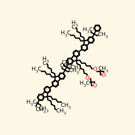 CCCCCCC1(CCCCCC)c2cc(-c3ccc4c(c3)C(CCCCCC)(CCCCCC)c3cc(C(CC)(CC)C(CC)(CC)c5ccc6c(c5)C(CCCCCCOCC5(C)COC5)(CCCCCCOCC5(C)COC5)c5cc(-c7ccc8c(c7)C(CCCCCC)(CCCCCC)c7cc(C(CC)(CC)c9ccccc9)ccc7-8)ccc5-6)ccc3-4)ccc2-c2ccc(C(C)(CC)CC)cc21